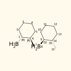 B[C@@H]1CCCC[C@H]1C.B[C@H]1CCCC[C@@H]1C